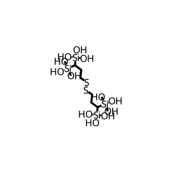 O[Si](O)(O)C(CCSSCCC([Si](O)(O)O)[Si](O)(O)O)[Si](O)(O)O